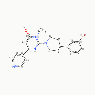 Cn1c(N2CCC(c3cccc(Br)c3)CC2)nc(-c2ccncc2)cc1=O